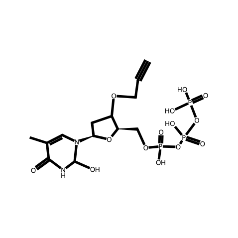 C#CCOC1C[C@H](N2C=C(C)C(=O)NC2O)O[C@@H]1COP(=O)(O)OP(=O)(O)OP(=O)(O)O